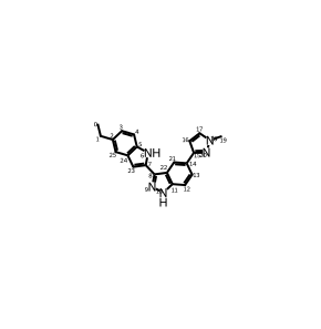 CCc1ccc2[nH]c(-c3n[nH]c4ccc(-c5ccn(C)n5)cc34)cc2c1